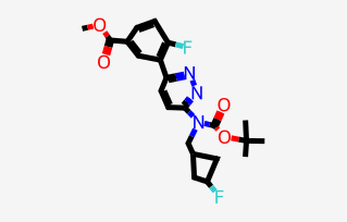 COC(=O)c1ccc(F)c(-c2ccc(N(CC3CC(F)C3)C(=O)OC(C)(C)C)nn2)c1